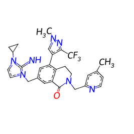 Cc1ccnc(CN2CCc3c(cc(Cn4ccn(C5CC5)c4=N)cc3-c3cn(C)nc3C(F)(F)F)C2=O)c1